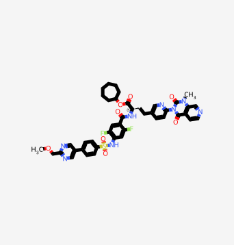 COCc1ncc(-c2ccc(S(=O)(=O)Nc3cc(F)c(C(=O)N[C@@H](CCc4ccc(-n5c(=O)c6ccncc6n(C)c5=O)nc4)C(=O)OC4CCCCCC4)cc3F)cc2)cn1